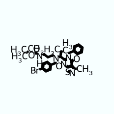 Cc1nsc2nc(C(C(C)C)N(CCCNC(=O)OC(C)(C)C)C(=O)c3ccc(Br)cc3)n(Cc3ccccc3)c(=O)c12